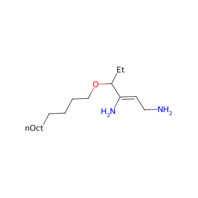 CCCCCCCCCCCCOC(CC)C(N)=CCN